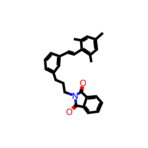 Cc1cc(C)c(C=Cc2cccc(CCCN3C(=O)c4ccccc4C3=O)c2)c(C)c1